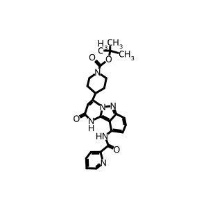 CC(C)(C)OC(=O)N1CCC(c2cc(=O)[nH]c3c4c(NC(=O)c5ccccn5)cccc4nn23)CC1